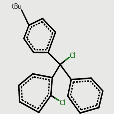 CC(C)(C)c1ccc(C(Cl)(c2ccccc2)c2ccccc2Cl)cc1